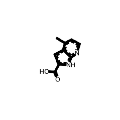 Cc1ccnc2[nH]c(C(=O)O)cc12